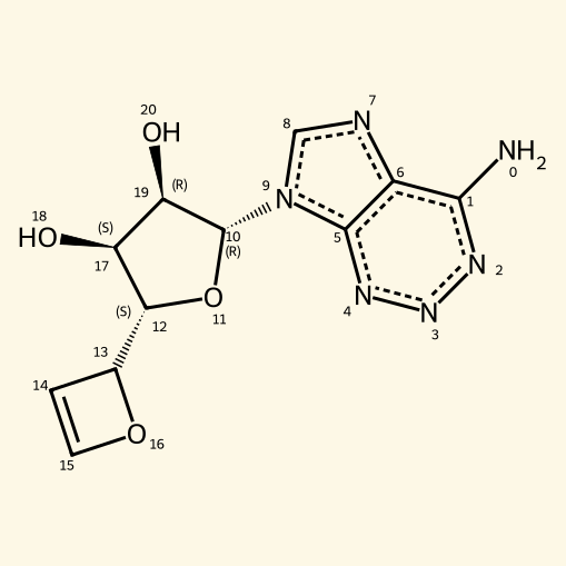 Nc1nnnc2c1ncn2[C@@H]1O[C@H](C2C=CO2)[C@@H](O)[C@H]1O